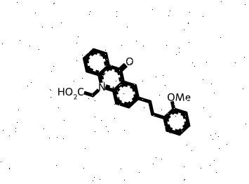 COc1ccccc1CCc1ccc2c(c1)c(=O)c1ccccc1n2CC(=O)O